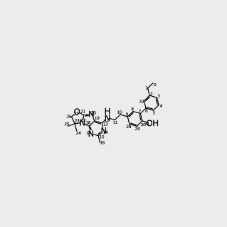 CCc1cccc(-c2cc(CCNc3nc(C)nc4c3nc3n4C(C)(C)CO3)ccc2O)c1